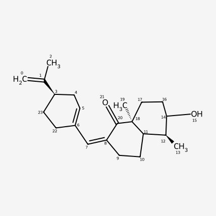 C=C(C)[C@H]1CC=C(C=C2CCC3[C@H](C)C(O)CC[C@]3(C)C2=O)CC1